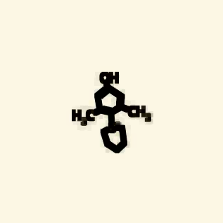 Cc1cc(O)cc(C)c1[S+]1CCCCC1